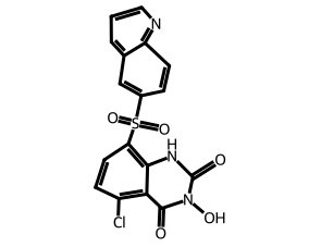 O=c1[nH]c2c(S(=O)(=O)c3ccc4ncccc4c3)ccc(Cl)c2c(=O)n1O